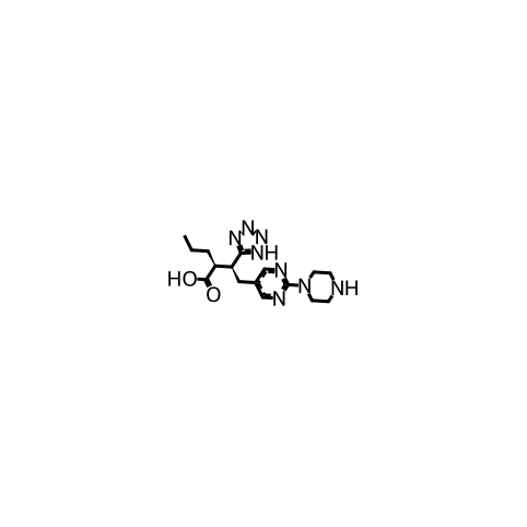 CCC[C@H](C(=O)O)[C@H](Cc1cnc(N2CCNCC2)nc1)c1nnn[nH]1